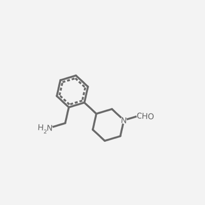 NCc1ccccc1C1CCCN(C=O)C1